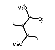 CCC(OC)C(C)C(C)OC